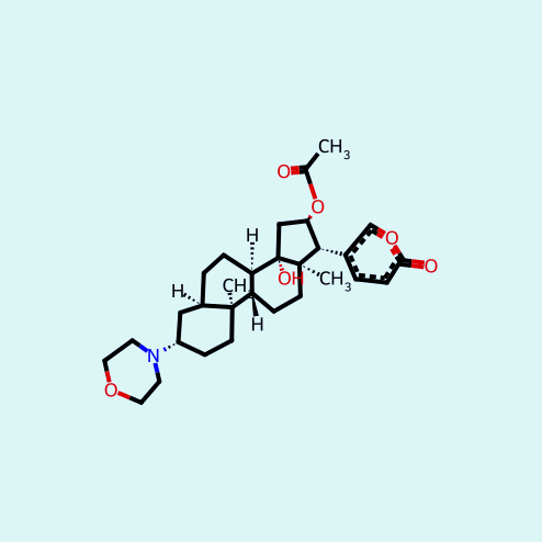 CC(=O)O[C@H]1C[C@]2(O)[C@@H]3CC[C@@H]4C[C@@H](N5CCOCC5)CC[C@]4(C)[C@H]3CC[C@]2(C)[C@H]1c1ccc(=O)oc1